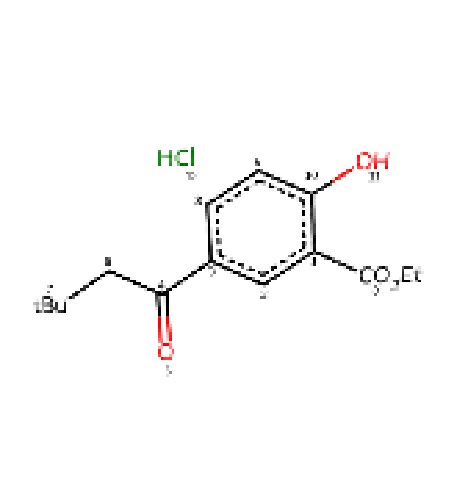 CCOC(=O)c1cc(C(=O)CC(C)(C)C)ccc1O.Cl